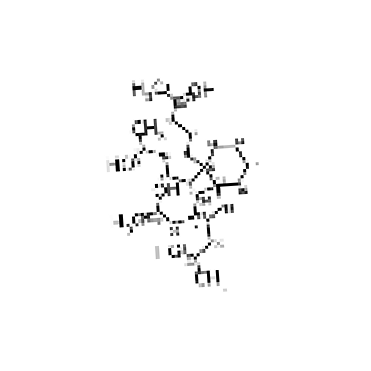 CC(O)CCCC1(CCCC(C)O)CCCCC1(CCCC(C)O)CCCC(C)O